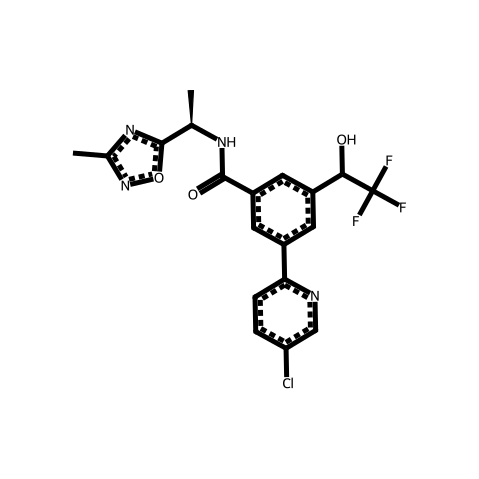 Cc1noc([C@@H](C)NC(=O)c2cc(-c3ccc(Cl)cn3)cc(C(O)C(F)(F)F)c2)n1